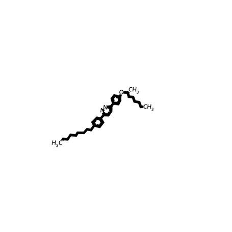 CCCCCCCCCc1ccc(-c2ccc(-c3ccc(OC(C)CCCCCC)cc3)nn2)cc1